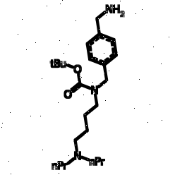 CCCN(CCC)CCCCN(Cc1ccc(CN)cc1)C(=O)OC(C)(C)C